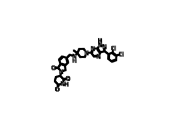 CC1(NCc2ccc3c(c2)CN(C2CCC(=O)NC2=O)C3=O)CCN(c2cnc3c(-c4cccc(Cl)c4Cl)n[nH]c3n2)CC1